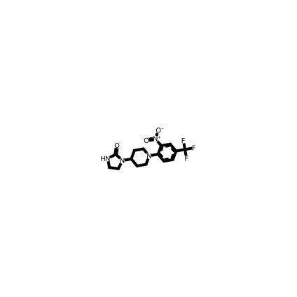 O=C1NCCN1C1CCN(c2ccc(C(F)(F)F)cc2[N+](=O)[O-])CC1